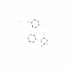 COc1ccc(C)cc1Nc1cccc(-c2c(Br)cnn2C)c1